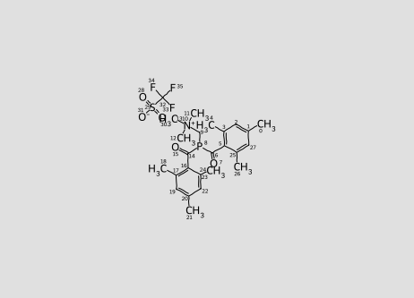 Cc1cc(C)c(C(=O)P(C[N+](C)(C)C)C(=O)c2c(C)cc(C)cc2C)c(C)c1.O=S(=O)([O-])C(F)(F)F